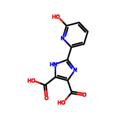 O=C(O)c1nc(-c2cccc(O)n2)[nH]c1C(=O)O